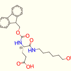 O=C(O)CC[C@H](NC(=O)OCC1c2ccccc2-c2ccccc21)C(=O)NCCCCCCO